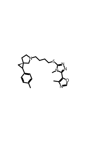 Cc1ccc(C2C[C@]23CCN(CCCCSc2nnc(-c4ocnc4C)n2C)C3)cc1